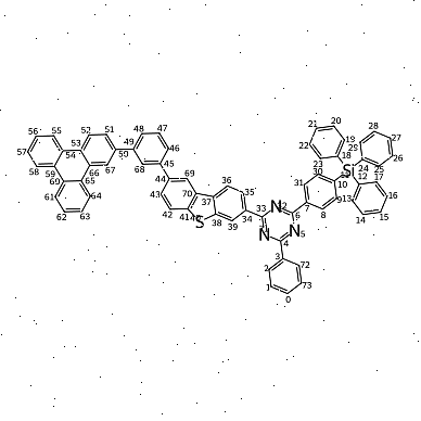 c1ccc(-c2nc(-c3ccc([Si](c4ccccc4)(c4ccccc4)c4ccccc4)cc3)nc(-c3ccc4c(c3)sc3ccc(-c5cccc(-c6ccc7c8ccccc8c8ccccc8c7c6)c5)cc34)n2)cc1